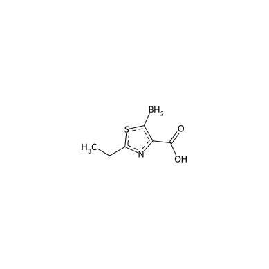 Bc1sc(CC)nc1C(=O)O